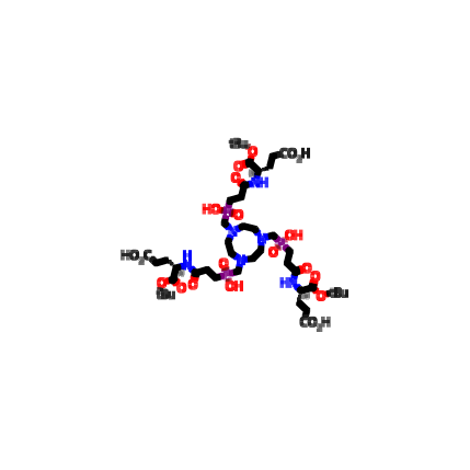 CC(C)(C)OC(=O)[C@H](CCC(=O)O)NC(=O)CCP(=O)(O)CN1CCN(CP(=O)(O)CCC(=O)N[C@@H](CCC(=O)O)C(=O)OC(C)(C)C)CCN(CP(=O)(O)CCC(=O)N[C@@H](CCC(=O)O)C(=O)OC(C)(C)C)CC1